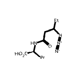 CCC(CC(=O)N[C@H](C(=O)O)C(C)C)N=[N+]=[N-]